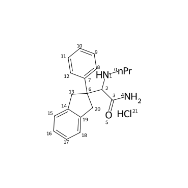 CCCNC(C(N)=O)C1(c2ccccc2)Cc2ccccc2C1.Cl